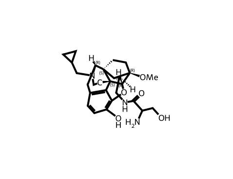 CO[C@]12CC[C@@]3(C[C@@H]1CNC(=O)C(N)CO)[C@H]1Cc4ccc(O)c5c4[C@@]3(CCN1CC1CC1)[C@H]2O5